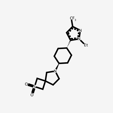 CCn1nc(C(F)(F)F)cc1[C@H]1CC[C@H](N2CCC3(C2)CS(=O)(=O)C3)CC1